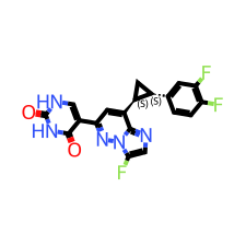 O=c1[nH]cc(-c2cc([C@H]3C[C@@H]3c3ccc(F)c(F)c3)c3ncc(F)n3n2)c(=O)[nH]1